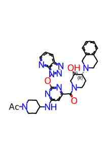 CC(=O)N1CCC(Nc2cc(C(=O)N3CC[C@@H](N4CCc5ccccc5C4)[C@H](O)C3)nc(On3nnc4cccnc43)n2)CC1